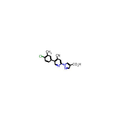 Cc1cc(-c2cnc(-n3cc(C(=O)O)cn3)cc2C#N)ccc1Cl